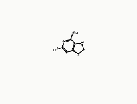 CCc1cc2c(c(C(C)(C)C)n1)OCC2